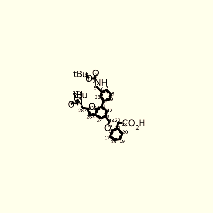 CC(C)(C)OC(=O)NCc1cccc(-c2cc(COc3ccccc3CC(=O)O)cc3cc(CN[S+]([O-])C(C)(C)C)oc23)c1